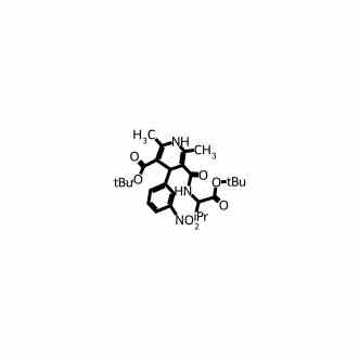 CC1=C(C(=O)NC(C(=O)OC(C)(C)C)C(C)C)C(c2cccc([N+](=O)[O-])c2)C(C(=O)OC(C)(C)C)=C(C)N1